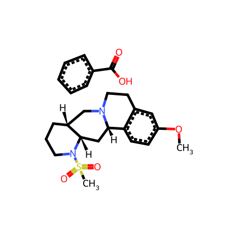 COc1ccc2c(c1)CCN1C[C@H]3CCCN(S(C)(=O)=O)[C@H]3C[C@@H]21.O=C(O)c1ccccc1